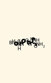 Cn1c(Nc2ccc(Br)cc2)nc2cc(Oc3ccnc(C(CCC(N)=O)c4ncc[nH]4)c3)ccc21